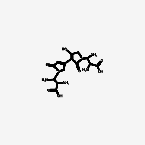 NC(C(=O)O)C(N)N1CC(C2=C(O)CN(C(N)C(N)C(=O)O)C2=O)=CC1=O